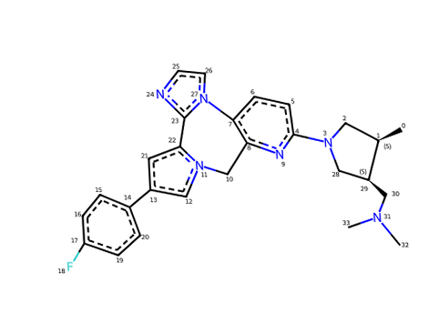 C[C@@H]1CN(c2ccc3c(n2)Cn2cc(-c4ccc(F)cc4)cc2-c2nccn2-3)C[C@@H]1CN(C)C